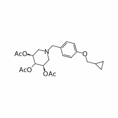 CC(=O)OC1[C@@H](OC(C)=O)CN(Cc2ccc(OCC3CC3)cc2)C[C@H]1OC(C)=O